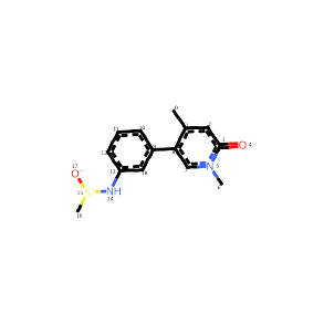 Cc1cc(=O)n(C)cc1-c1cccc(N[S+](C)[O-])c1